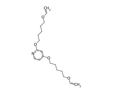 C=COCCCCCOc1ccnc(OCCCCCOC=C)c1